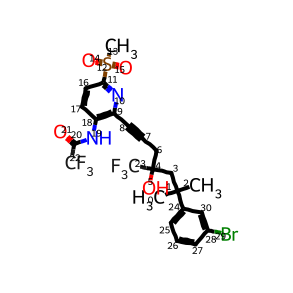 CC(C)(CC(O)(CC#Cc1nc(S(C)(=O)=O)ccc1NC(=O)C(F)(F)F)C(F)(F)F)c1cccc(Br)c1